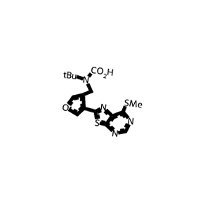 CSc1ncnc2sc(-c3cocc3CN(C(=O)O)C(C)(C)C)nc12